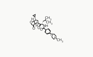 CC(C)C[C@H](NC(=O)c1ccc(N2CCN(C)CC2)cc1)C(=O)N1C[C@H](C2CC2)[C@H]2OCC(=O)[C@H]21